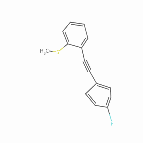 CSc1ccccc1C#Cc1ccc(F)cc1